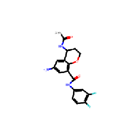 CNC(=O)NC1CCOc2c(C(=O)Nc3ccc(F)c(F)c3)cc(N)cc21